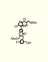 CN/C=C(/Nc1cc(-c2cc3n(c2)C[C@H](COC)N(Cc2cc(F)ccc2CO)C3=O)c(Cl)cn1)C(C)=N